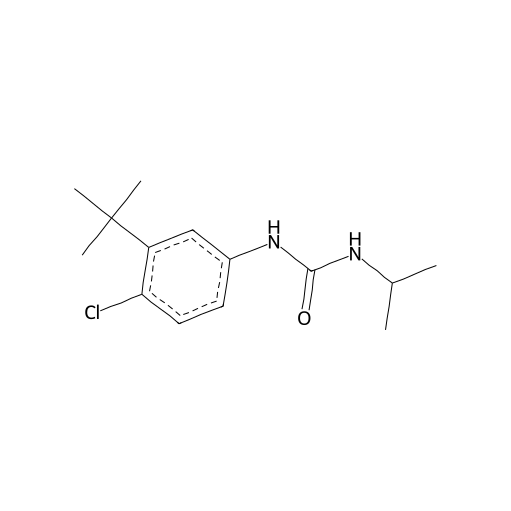 CC(C)NC(=O)Nc1ccc(Cl)c(C(C)(C)C)c1